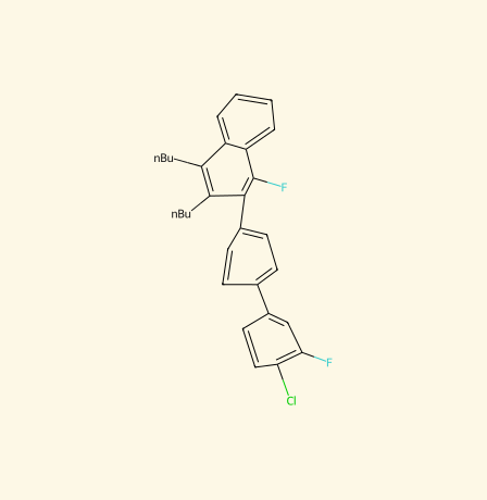 CCCCc1c(-c2ccc(-c3ccc(Cl)c(F)c3)cc2)c(F)c2ccccc2c1CCCC